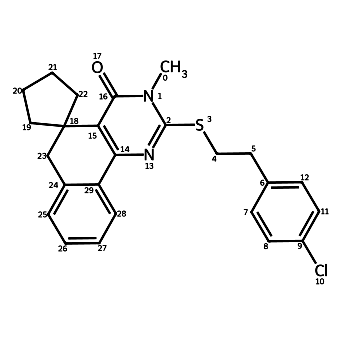 Cn1c(SCCc2ccc(Cl)cc2)nc2c(c1=O)C1(CCCC1)Cc1ccccc1-2